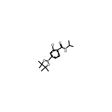 CC(C)NC(=O)c1ccc(B2OC(C)(C)C(C)(C)O2)cc1Cl